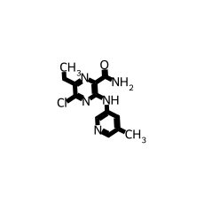 CCc1nc(C(N)=O)c(Nc2cncc(C)c2)nc1Cl